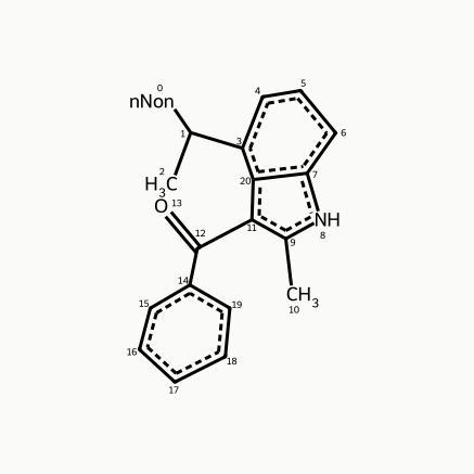 CCCCCCCCCC(C)c1cccc2[nH]c(C)c(C(=O)c3ccccc3)c12